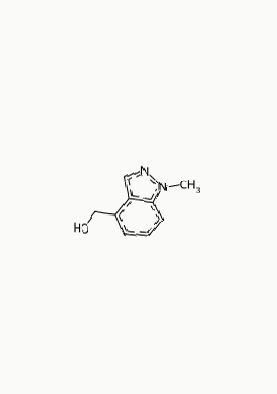 Cn1ncc2c(CO)cccc21